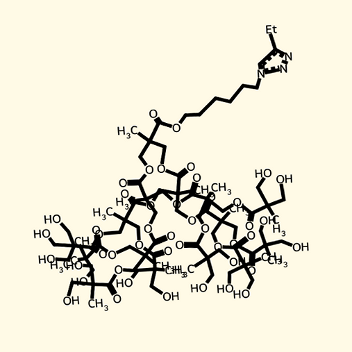 CCc1cn(CCCCCCOC(=O)C(C)(COC(=O)C(C)(COC(=O)C(C)(COC(=O)C(C)(CO)CO)COC(=O)C(C)(CO)CO)COC(=O)C(C)(COC(=O)C(C)(CO)CO)COC(=O)C(C)(CO)CO)COC(=O)C(C)(COC(=O)C(C)(COC(=O)C(C)(CO)CO)COC(=O)C(C)(CO)CO)COC(=O)C(C)(COC(=O)C(C)(CO)CO)COC(=O)C(C)(CO)CO)nn1